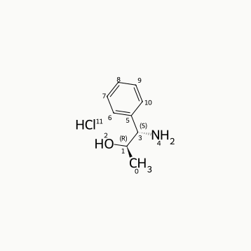 C[C@@H](O)[C@@H](N)c1ccccc1.Cl